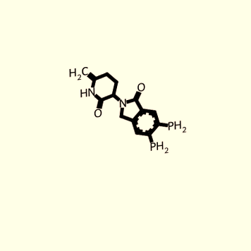 C=C1CCC(N2Cc3cc(P)c(P)cc3C2=O)C(=O)N1